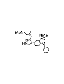 CNCCN(C)Cc1n[nH]cc1-c1ccc(Oc2ccccc2)c(C(=O)NC)c1